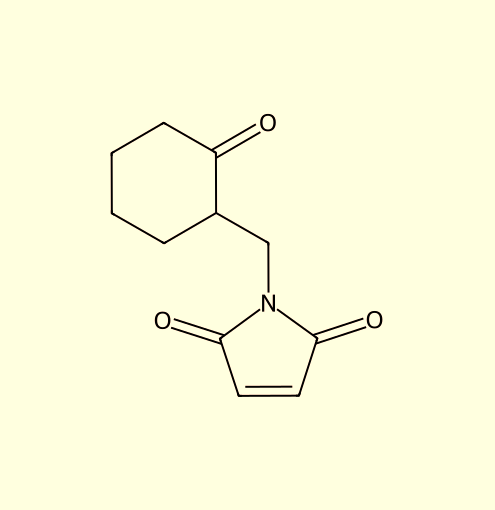 O=C1CCCCC1CN1C(=O)C=CC1=O